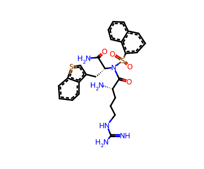 N=C(N)NCCC[C@H](N)C(=O)N([C@H](Cc1csc2ccccc12)C(N)=O)S(=O)(=O)c1cccc2ccccc12